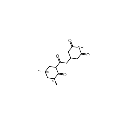 C[C@@H]1CC(C(=O)CC2CC(=O)NC(=O)C2)C(=O)[C@@H](C)C1